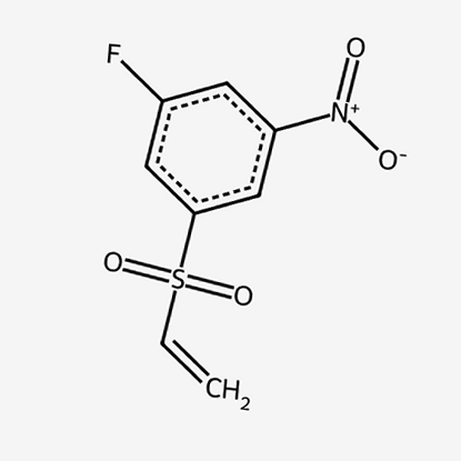 C=CS(=O)(=O)c1cc(F)cc([N+](=O)[O-])c1